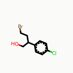 OCC(CCBr)c1ccc(Cl)cc1